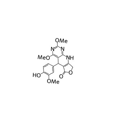 COc1nc2c(c(OC)n1)C(c1ccc(O)c(OC)c1)C1=C(COC1=O)N2